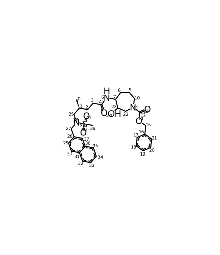 C[C@@H](CCC(=O)NC1CCCN(C(=O)OCc2ccccc2)CC1O)CN(Cc1ccc2ccccc2c1)S(C)(=O)=O